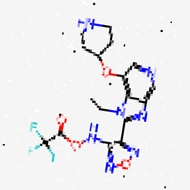 CCn1c(-c2nonc2NOC(=O)C(F)(F)F)nc2cncc(OC3CCNCC3)c21